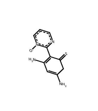 NC1=CC(N)=C(c2nccc[n+]2[O-])C(=S)C1